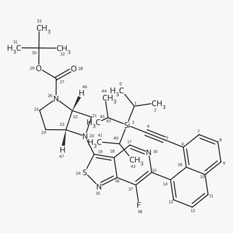 CC(C)[Si](C#Cc1cccc2cccc(-c3ncc4c(N5C[C@@H]6[C@H]5CCN6C(=O)OC(C)(C)C)snc4c3F)c12)(C(C)C)C(C)C